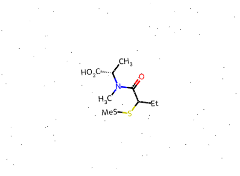 CCC(SSC)C(=O)N(C)[C@@H](C)C(=O)O